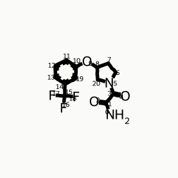 NC(=O)C(=O)N1CCC(Oc2cccc(C(F)(F)F)c2)C1